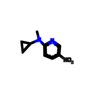 CN(c1ccc([N+](=O)[O-])cn1)C1CC1